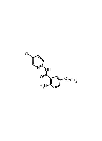 COc1ccc(N)c(C(=O)Nc2ccc(Cl)cn2)c1